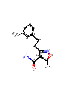 Cc1onc(CCc2cccc(C(F)(F)F)c2)c1C(N)=O